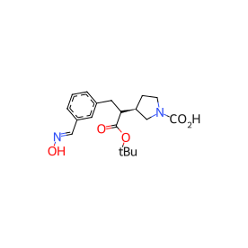 CC(C)(C)OC(=O)C(Cc1cccc(C=NO)c1)[C@H]1CCN(C(=O)O)C1